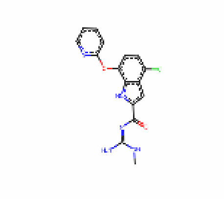 CNC(N)=NC(=O)c1cc2c(Cl)ccc(Oc3ccccn3)c2[nH]1